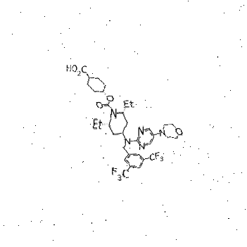 CC[C@@H]1CC(N(Cc2cc(C(F)(F)F)cc(C(F)(F)F)c2)c2ncc(N3CCOCC3)cn2)C[C@H](CC)N1C(=O)O[C@H]1CC[C@H](C(=O)O)CC1